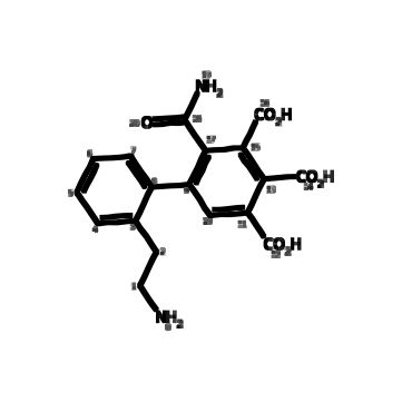 NCCc1ccccc1-c1cc(C(=O)O)c(C(=O)O)c(C(=O)O)c1C(N)=O